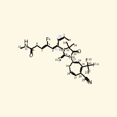 C/C=C\C(=C/C(F)=CCC(=O)NC)N1C(=S)N(C2=CC(C(F)(F)F)=C(C#N)C=CC2)C(=O)C1(C)C